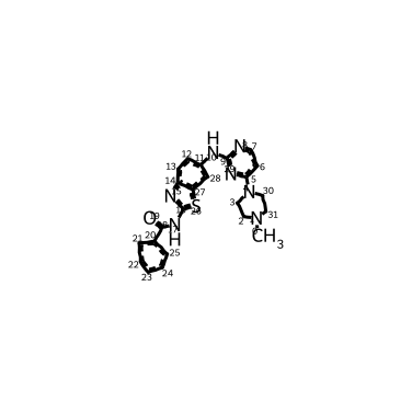 CN1CCN(c2ccnc(Nc3ccc4nc(NC(=O)c5ccccc5)sc4c3)n2)CC1